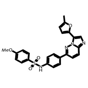 COc1ccc(S(=O)(=O)Nc2ccc(-c3ccc4ncc(-c5ccc(C)o5)n4n3)cc2)cc1